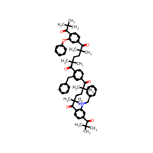 CC(C)(C)C(=O)c1ccc(C(=O)C(C)(C)CCC(C)(C)C(=O)c2ccc(C(=O)C(C)(C)CCC(C)(C)C(=O)c3ccc(C(=O)C(C)(C)C)c(Oc4ccccc4)c3)c(Cc3ccccc3)c2)c(NCc2ccccc2)c1